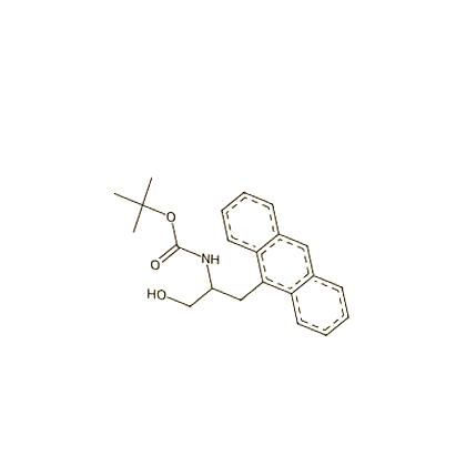 CC(C)(C)OC(=O)NC(CO)Cc1c2ccccc2cc2ccccc12